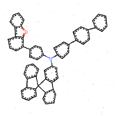 c1ccc(-c2ccc(-c3ccc(N(c4ccc(-c5cccc6c5oc5ccccc56)cc4)c4ccc5c(c4)C4(c6ccccc6-c6ccccc64)c4ccccc4-5)cc3)cc2)cc1